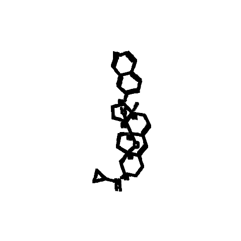 C[C@]12CC=C3C=C4CC[C@H](NC5CC5)C[C@]45CC[C@]3(O5)[C@@H]1CC[C@@H]2c1ccc2ccncc2c1